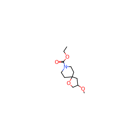 CCOC(=O)N1CCC2(CC1)CC(OC)CO2